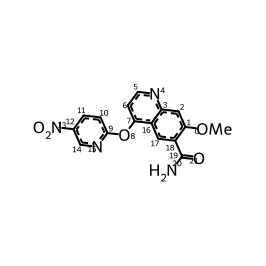 COc1cc2nccc(Oc3ccc([N+](=O)[O-])cn3)c2cc1C(N)=O